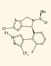 CCn1cc(-c2c(F)cccc2[C@H]2c3cc(Cl)sc3CN2[S@+]([O-])C(C)(C)C)c(C(F)(F)F)n1